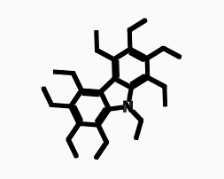 CCc1c(CC)c(CC)c2c(c1CC)c1c(CC)c(CC)c(CC)c(CC)c1n2CC